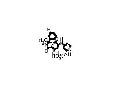 Cc1cc(Nc2cc(NC(=O)O)ncn2)c(=O)n2c1C(=O)NC2(C)c1cccc(F)c1